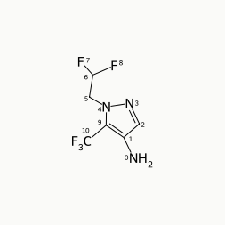 Nc1cnn(CC(F)F)c1C(F)(F)F